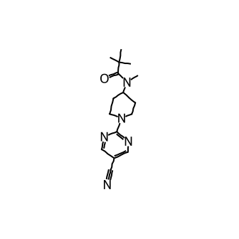 CN(C(=O)C(C)(C)C)C1CCN(c2ncc(C#N)cn2)CC1